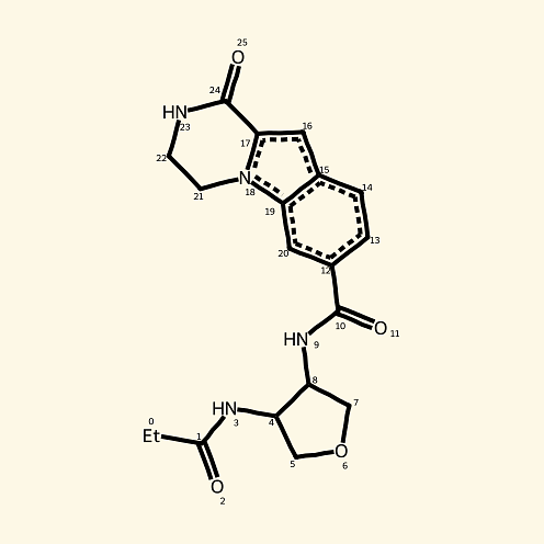 CCC(=O)NC1COCC1NC(=O)c1ccc2cc3n(c2c1)CCNC3=O